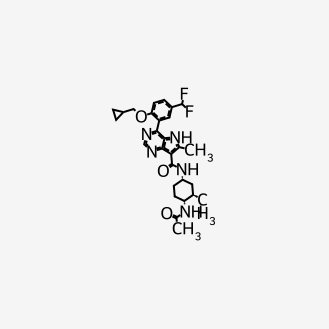 CC(=O)N[C@@H]1CC[C@H](NC(=O)c2c(C)[nH]c3c(-c4cc(C(F)F)ccc4OCC4CC4)ncnc23)C[C@H]1C